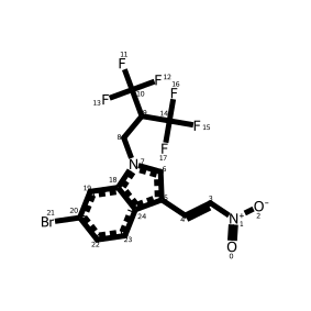 O=[N+]([O-])/C=C/c1cn(CC(C(F)(F)F)C(F)(F)F)c2cc(Br)ccc12